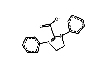 O=C([O-])C1=[N+](c2ccccc2)CCN1c1ccccc1